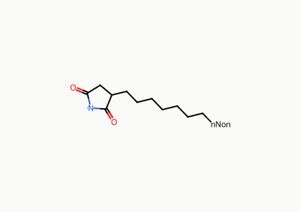 CCCCCCCCCCCCCCCCC1CC(=O)[N]C1=O